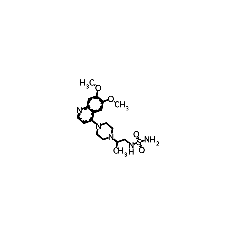 COc1cc2nccc(N3CCN(C(C)CNS(N)(=O)=O)CC3)c2cc1OC